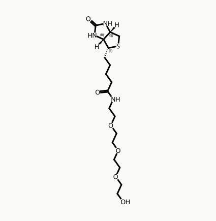 O=C(CCCC[C@H]1SC[C@H]2NC(=O)N[C@H]21)NCCOCCOCCOCCO